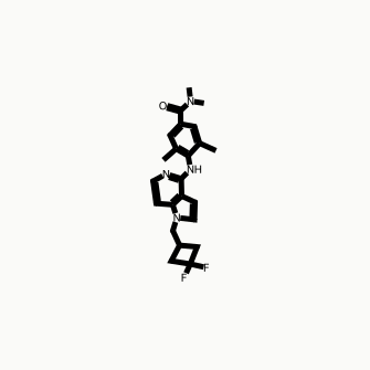 Cc1cc(C(=O)N(C)C)cc(C)c1Nc1nccc2c1ccn2CC1CC(F)(F)C1